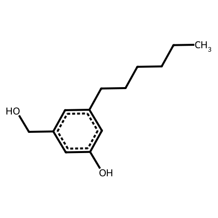 CCCCCCc1cc(O)cc(CO)c1